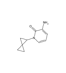 Nc1cccn(C2CC23CC3)c1=O